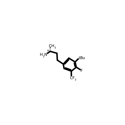 C[C@@H](N)CCc1cc(C(C)(C)C)c(F)c(C(F)(F)F)c1